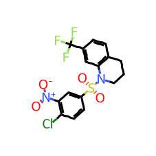 O=[N+]([O-])c1cc(S(=O)(=O)N2CCCc3ccc(C(F)(F)F)cc32)ccc1Cl